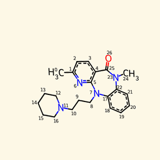 Cc1ccc2c(n1)N(CCCN1CCCCC1)c1ccccc1N(C)C2=O